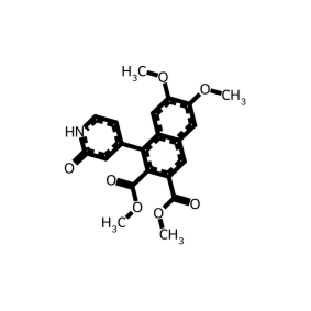 COC(=O)c1cc2cc(OC)c(OC)cc2c(-c2cc[nH]c(=O)c2)c1C(=O)OC